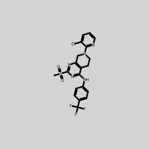 CS(=O)(=O)c1nc2c(c(Nc3ccc(C(F)(F)F)cc3)n1)CCN(c1ncccc1Cl)C2